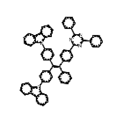 c1ccc(C(=C(c2ccc(-n3c4ccccc4c4ccccc43)cc2)c2ccc(-n3c4ccccc4c4ccccc43)cc2)c2ccc(-c3nc(-c4ccccc4)nc(-c4ccccc4)n3)cc2)cc1